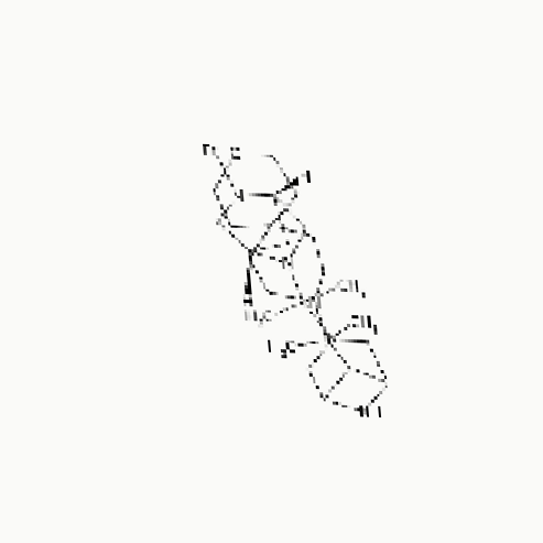 CC(C)N1C[C@@H]2C[C@H]1CN2C(C)(C)N1CC2NC(C1)C2C(C)(C)N1CCC2(CCOCC2)CC1